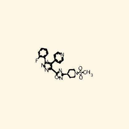 CS(=O)(=O)N1CCC(c2noc(-c3nnn(-c4ccccc4F)c3-c3ccncc3)n2)CC1